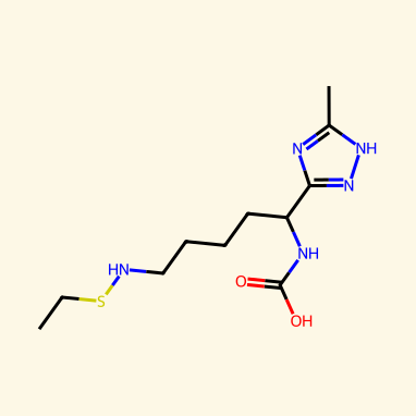 CCSNCCCCC(NC(=O)O)c1n[nH]c(C)n1